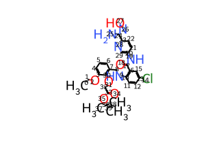 CCOc1cccc(CNc2ccc(Cl)cc2C(=O)Nc2ccc(/C(N)=N/O)nc2)c1OCC(=O)OC(C)(C)C